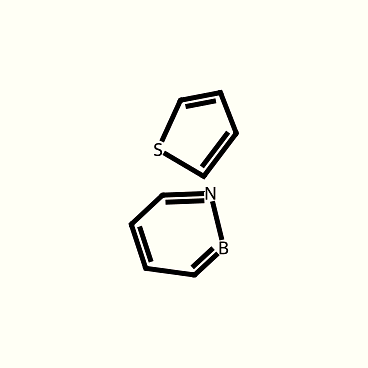 b1ccccn1.c1ccsc1